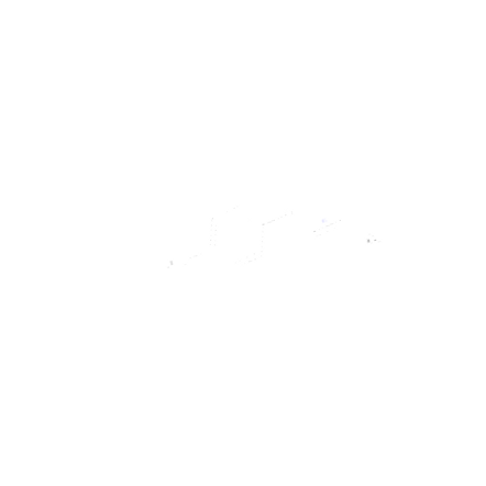 CCCC/C=C/Oc1ccc(C=O)cc1